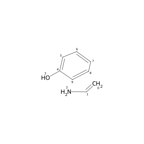 C=CN.Oc1ccccc1